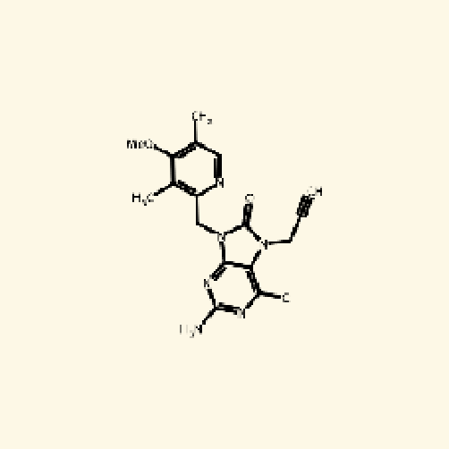 C#CCn1c(=O)n(Cc2ncc(C)c(OC)c2C)c2nc(N)nc(Cl)c21